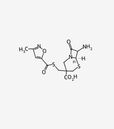 Cc1cc(C(=O)SCC2(C(=O)O)CS[C@@H]3C(N)C(=O)N3C2)on1